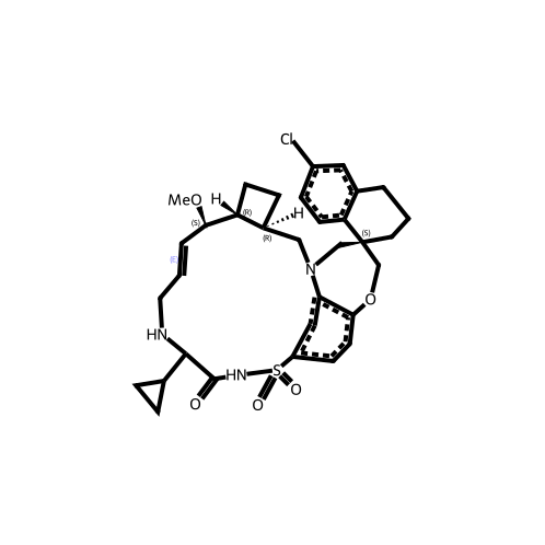 CO[C@@H]1/C=C/CNC(C2CC2)C(=O)NS(=O)(=O)c2ccc3c(c2)N(C[C@@H]2CC[C@H]21)C[C@@]1(CCCc2cc(Cl)ccc21)CO3